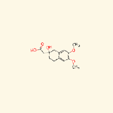 COc1cc2c(cc1OC)CC(O)(CC(=O)O)CC2